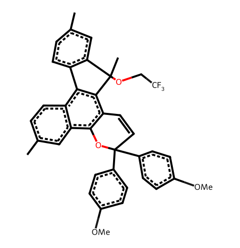 COc1ccc(C2(c3ccc(OC)cc3)C=Cc3c4c(c5ccc(C)cc5c3O2)-c2ccc(C)cc2C4(C)OCC(F)(F)F)cc1